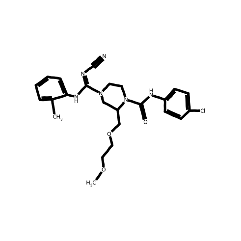 COCCOCC1CN(/C(=N\C#N)Nc2ccccc2C)CCN1C(=O)Nc1ccc(Cl)cc1